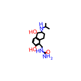 CC(C)NC1CCc2c(ccc(O)c2CNC(N)=O)C1O